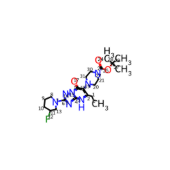 CCc1[nH]c2nc(N3CCCC(F)C3)nn2c(=O)c1N1CCN(C(=O)OC(C)(C)C)CC1